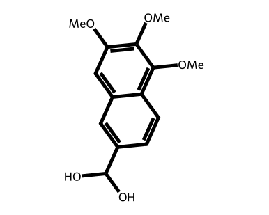 COc1cc2cc(C(O)O)ccc2c(OC)c1OC